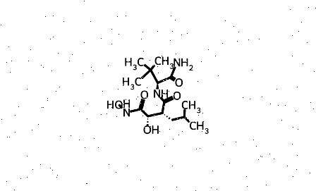 CC(C)C[C@@H](C(=O)N[C@H](C(N)=O)C(C)(C)C)[C@H](O)C(=O)NO